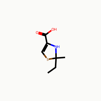 CCC1(C)NC(C(=O)O)=CS1